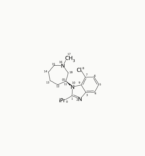 CC(C)c1nc2cccc(Cl)c2n1[C@H]1CCCCN(C)C1